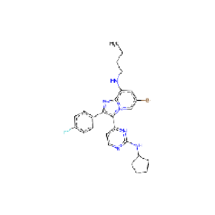 CCCCNc1cc(Br)cn2c(-c3ccnc(NC4CCCC4)n3)c(-c3ccc(F)cc3)nc12